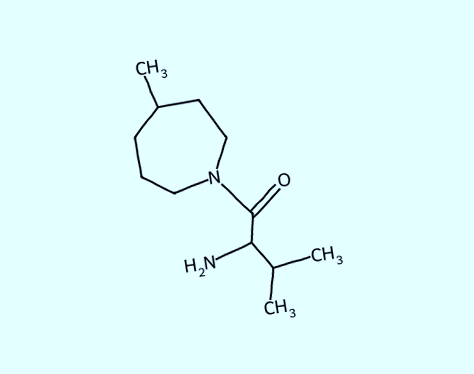 CC1CCCN(C(=O)C(N)C(C)C)CC1